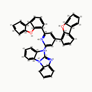 c1ccc2c(c1)nc1n(-c3cc(-c4cccc5c4oc4ccccc45)cc(-c4cccc5c4oc4ccccc45)n3)c3ccccc3n21